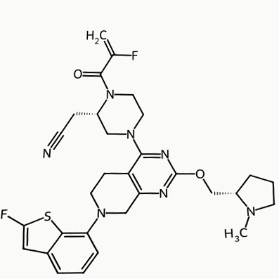 C=C(F)C(=O)N1CCN(c2nc(OC[C@@H]3CCCN3C)nc3c2CCN(c2cccc4cc(F)sc24)C3)C[C@@H]1CC#N